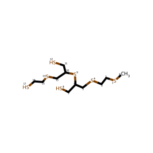 CSCCSCC(CS)SC(CS)CSCCS